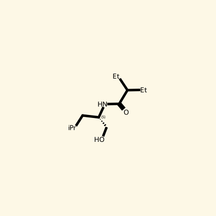 CCC(CC)C(=O)N[C@H](CO)CC(C)C